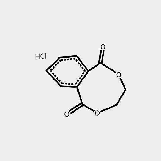 Cl.O=C1OCCOC(=O)c2ccccc21